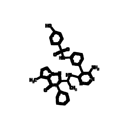 Cc1ccn2nc(C(C)Nc3ncnc(N)c3-c3cccc(NS(=O)(=O)c4ccc(O)cc4)c3)n(-c3ccccc3)c(=O)c12